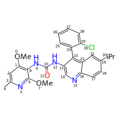 COc1cc(C)nc(OC)c1NC(=O)Nc1cnc2ccc(C(C)C)cc2c1-c1ccccc1Cl